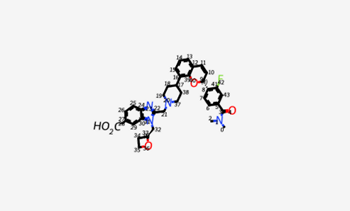 CN(C)C(=O)c1ccc([C@H]2C=Cc3cccc(C4CCN(Cc5nc6ccc(C(=O)O)cc6n5C[C@@H]5CCO5)CC4)c3O2)c(F)c1